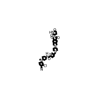 CN(c1ccc(C#N)c(Cl)c1)[C@H]1CC[C@H](NC(=O)c2ccc(CN3CCC(N4Cc5cc6c(cc5C4)C(=O)N(C4CCC(=O)NC4=O)C6=O)CC3)cn2)CC1